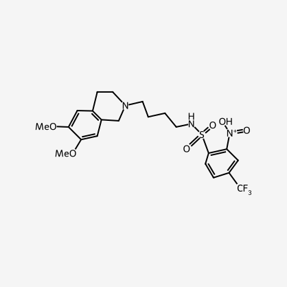 COc1cc2c(cc1OC)CN(CCCCNS(=O)(=O)c1ccc(C(F)(F)F)cc1[N+](=O)O)CC2